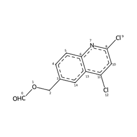 O=COCc1ccc2nc(Cl)cc(Cl)c2c1